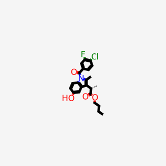 CCCCOC(=O)[C@@H](C)c1c(C)n(C(=O)c2ccc(Cl)c(F)c2)c2ccc(O)cc12